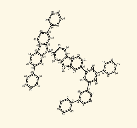 c1ccc(-c2cccc(-c3nc(-c4ccccc4)nc(-c4ccc5c(c4)oc4cc(-n6c7cc(-c8ccccc8)ccc7c7ccc(-c8ccccc8)cc76)ccc45)n3)c2)cc1